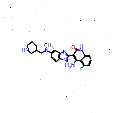 CN(CC1CCCNC1)c1ccc2[nH]c(-c3c(N)c4c(F)cccc4[nH]c3=O)nc2c1